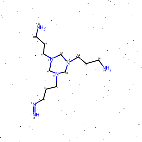 N=NCCCN1CN(CCCN)CN(CCCN)C1